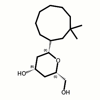 CC1(C)CCCCCCC([C@H]2C[C@@H](O)C[C@@H](CO)O2)C1